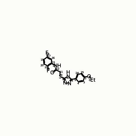 CCOc1ccc(-c2nnc(SCC(=O)Nc3cc(F)ccc3F)[nH]2)cc1